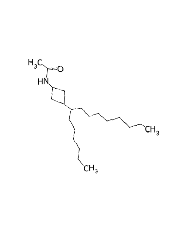 CCCCCCCCC(CCCCCC)C1CC(NC(C)=O)C1